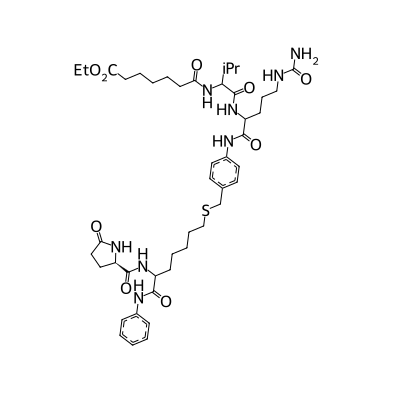 CCOC(=O)CCCCCC(=O)NC(C(=O)NC(CCCNC(N)=O)C(=O)Nc1ccc(CSCCCCCC(NC(=O)[C@H]2CCC(=O)N2)C(=O)Nc2ccccc2)cc1)C(C)C